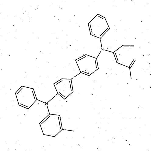 C=C/C(=C\C(=C)C)N(c1ccccc1)c1ccc(-c2ccc(N(C3=CCCC(C)=C3)c3ccccc3)cc2)cc1